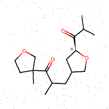 CC(C)C(=O)[C@@H]1CC(CC(C)C(=O)C2(C)CCOC2)CO1